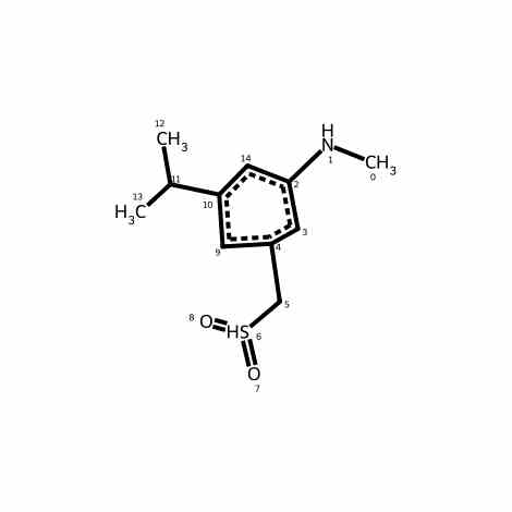 CNc1cc(C[SH](=O)=O)cc(C(C)C)c1